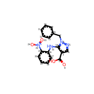 O=C(O)c1cnn(Cc2ccccc2)c1Nc1ccccc1[N+](=O)[O-]